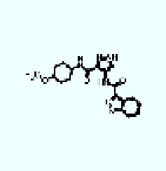 COC1CCC(NC(=O)c2n[nH]cc2NC(=O)c2onc3ccccc23)CC1